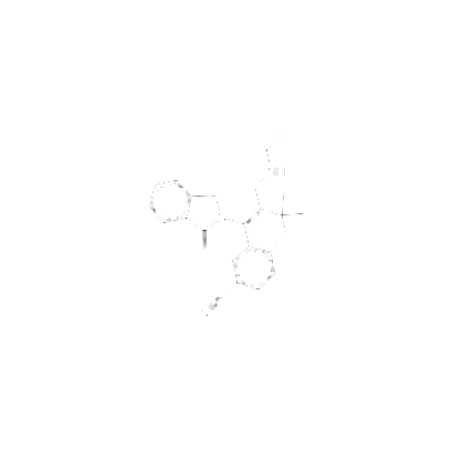 CCNCC1=C(N2Cc3ccccc3C2=O)c2cc(C#N)ccc2OC1(C)C